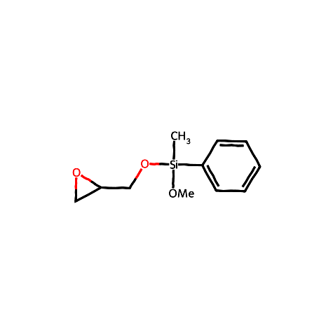 CO[Si](C)(OCC1CO1)c1ccccc1